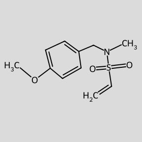 C=CS(=O)(=O)N(C)Cc1ccc(OC)cc1